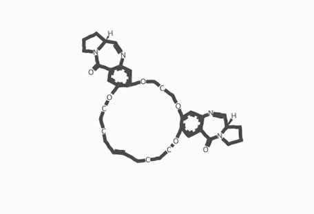 O=C1c2cc3c(cc2N=C[C@@H]2CCCN12)OCCCOc1cc2c(cc1OCCCC/C=C/CCCCO3)C(=O)N1CCC[C@H]1C=N2